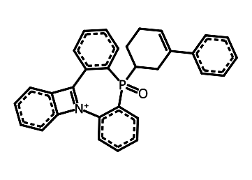 O=P1(C2CCC=C(c3ccccc3)C2)c2ccccc2C2=[N+](c3ccccc32)c2ccccc21